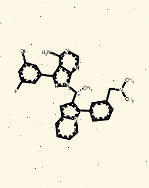 C[C@H](c1cc2ccccn2c1-c1cccc(CN(C)C)c1)n1nc(-c2cc(O)cc(F)c2)c2c(N)ncnc21